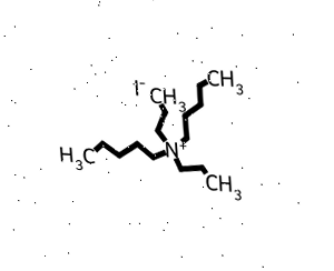 CCCCC[N+](CCC)(CCC)CCCCC.[I-]